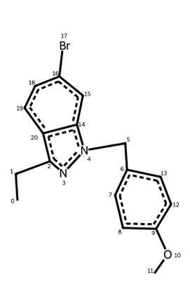 CCc1nn(Cc2ccc(OC)cc2)c2cc(Br)ccc12